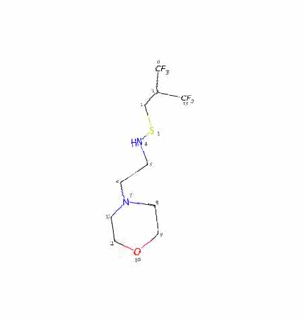 FC(F)(F)C(CSNCCN1CCOCC1)C(F)(F)F